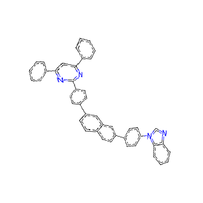 c1ccc(-c2cc(-c3ccccc3)nc(-c3ccc(-c4ccc5ccc(-c6ccc(-n7cnc8ccccc87)cc6)cc5c4)cc3)n2)cc1